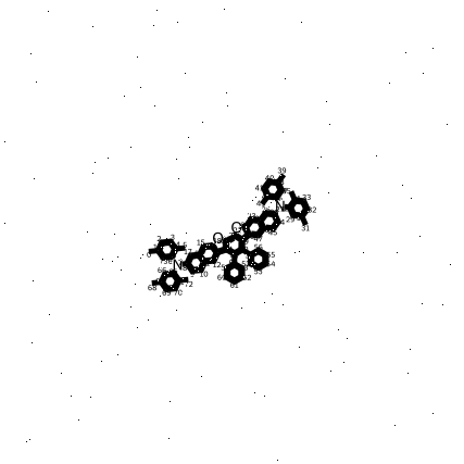 Cc1ccc(C)c(N(c2ccc3cc4c(cc3c2)oc2c3oc5cc6cc(N(c7cc(C)ccc7C)c7cc(C)ccc7C)ccc6cc5c3c(-c3ccccc3)c(-c3ccccc3)c42)c2cc(C)ccc2C)c1